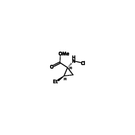 CC[C@@H]1C[C@]1(NCl)C(=O)OC